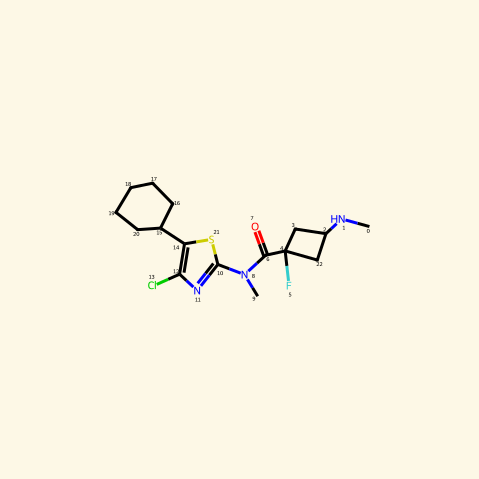 CNC1CC(F)(C(=O)N(C)c2nc(Cl)c(C3CCCCC3)s2)C1